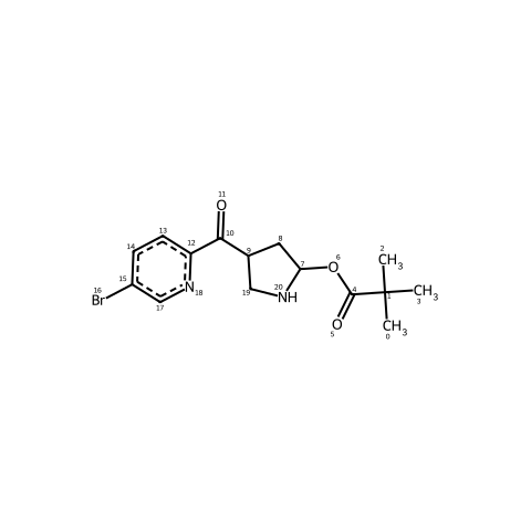 CC(C)(C)C(=O)OC1CC(C(=O)c2ccc(Br)cn2)CN1